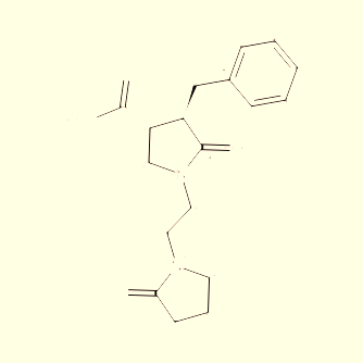 O=C(O)C(=O)[C@H]1CN(CCN2CCCC2=O)C(=O)[C@@H]1Cc1ccccc1